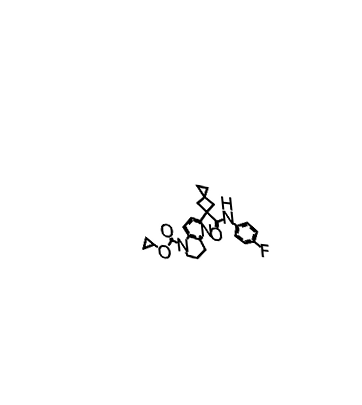 O=C(OC1CC1)N1CCCc2nc(C3(C(=O)Nc4ccc(F)cc4)CC4(CC4)C3)ccc21